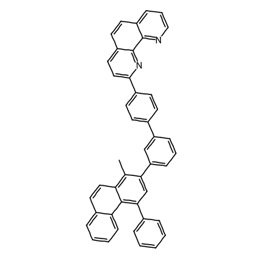 Cc1c(-c2cccc(-c3ccc(-c4ccc5ccc6cccnc6c5n4)cc3)c2)cc(-c2ccccc2)c2c1ccc1ccccc12